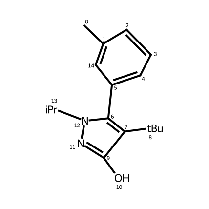 Cc1cccc(-c2c(C(C)(C)C)c(O)nn2C(C)C)c1